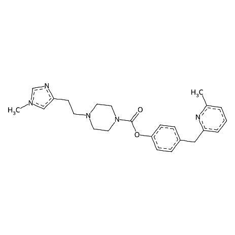 Cc1cccc(Cc2ccc(OC(=O)N3CCN(CCc4cn(C)cn4)CC3)cc2)n1